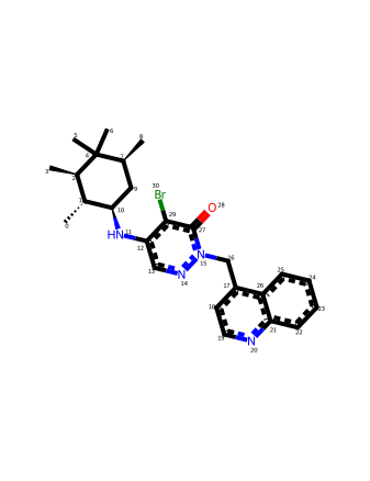 C[C@@H]1[C@@H](C)C(C)(C)[C@@H](C)C[C@H]1Nc1cnn(Cc2ccnc3ccccc23)c(=O)c1Br